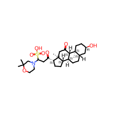 CC1(C)CN(C(CC(=O)[C@H]2CC[C@H]3[C@@H]4CC[C@H]5C[C@H](O)CC[C@]5(C)[C@H]4C(=O)C[C@]23C)S(=O)(=O)O)CCO1